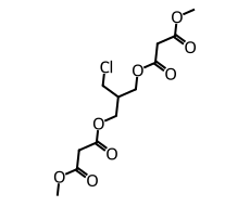 COC(=O)CC(=O)OCC(CCl)COC(=O)CC(=O)OC